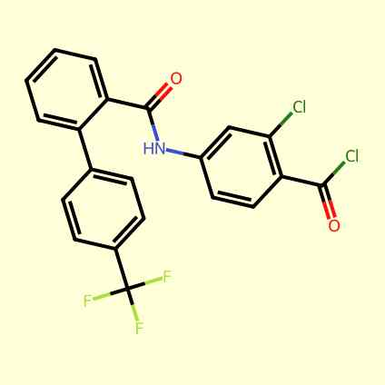 O=C(Cl)c1ccc(NC(=O)c2ccccc2-c2ccc(C(F)(F)F)cc2)cc1Cl